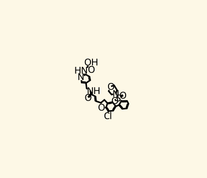 O=C(O)Nc1ccc(CNC(=O)C=CC2Cc3cc(-c4ccccc4S(=O)(=O)N4CCOCC4)cc(Cl)c3O2)cn1